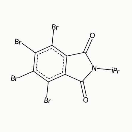 CC(C)N1C(=O)c2c(Br)c(Br)c(Br)c(Br)c2C1=O